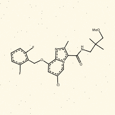 COCC(C)(C)CNC(=O)c1c(C)nc2c(OCc3c(F)cccc3F)cc(Cl)cn12